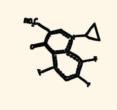 CCOC(=O)c1cn(C2CC2)c2c(F)c(F)cc(F)c2c1=O